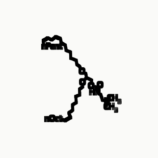 CCCCC/C=C\C/C=C\CCCCCCCCOCC(COC(=O)NCCN(C)C)OCCCCCCCC/C=C\CCCCCCCC